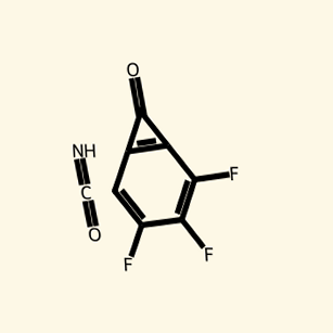 N=C=O.O=c1c2cc(F)c(F)c(F)c12